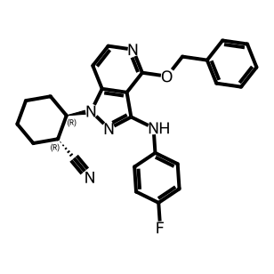 N#C[C@@H]1CCCC[C@H]1n1nc(Nc2ccc(F)cc2)c2c(OCc3ccccc3)nccc21